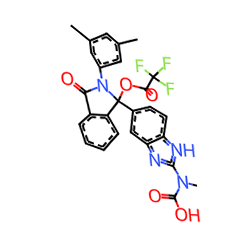 Cc1cc(C)cc(N2C(=O)c3ccccc3C2(OC(=O)C(F)(F)F)c2ccc3[nH]c(N(C)C(=O)O)nc3c2)c1